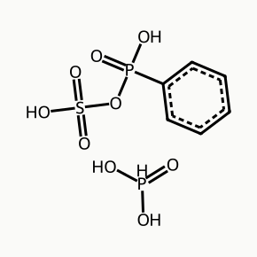 O=P(O)(OS(=O)(=O)O)c1ccccc1.O=[PH](O)O